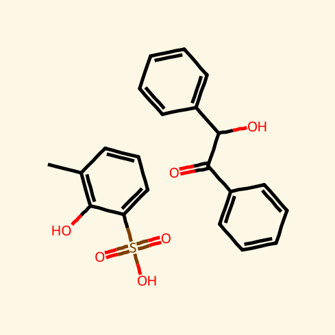 Cc1cccc(S(=O)(=O)O)c1O.O=C(c1ccccc1)C(O)c1ccccc1